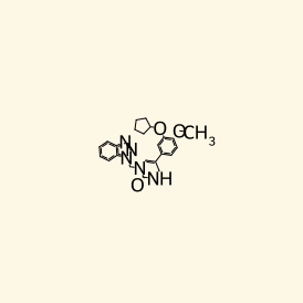 COc1ccc(C2=CN(Cn3nnc4ccccc43)C(=O)NC2)cc1OC1CCCC1